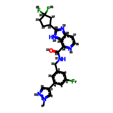 Cn1cc(-c2cc(F)cc(CNC(=O)c3nccc4nc(C5CCC(F)(F)C5)[nH]c34)c2)cn1